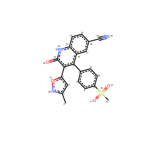 Cc1cc(-c2c(-c3ccc(S(C)(=O)=O)cc3)c3cc(C#N)ccc3[nH]c2=O)on1